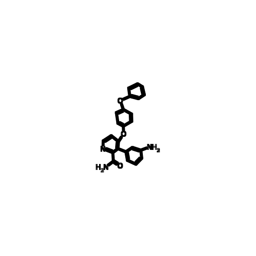 NC(=O)c1nccc(Oc2ccc(Oc3ccccc3)cc2)c1-c1cccc(N)c1